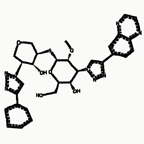 CO[C@@H]1[C@@H](n2cc(-c3ccc4nccnc4c3)nn2)[C@@H](O)[C@@H](CO)O[C@H]1S[C@@H]1COC[C@H](n2cc(-c3ccccc3)nn2)[C@H]1O